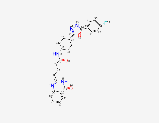 O=C(CCCc1nc2ccccc2c(=O)[nH]1)N[C@H]1CC[C@H](c2nnc(-c3ccc(F)cc3)o2)CC1